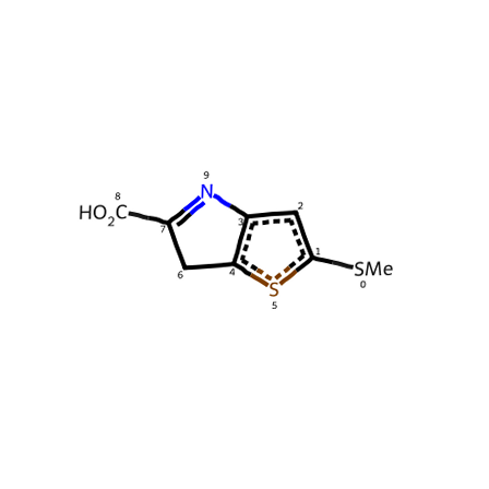 CSc1cc2c(s1)CC(C(=O)O)=N2